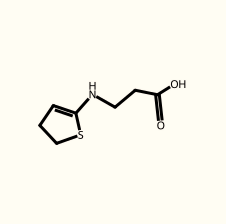 O=C(O)CCNC1=CCCS1